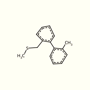 CSCc1ccccc1-c1ccccc1C